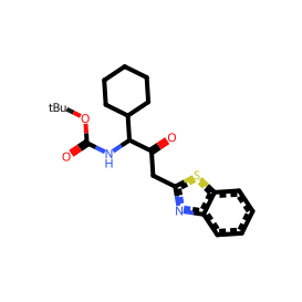 CC(C)(C)OC(=O)NC(C(=O)Cc1nc2ccccc2s1)C1CCCCC1